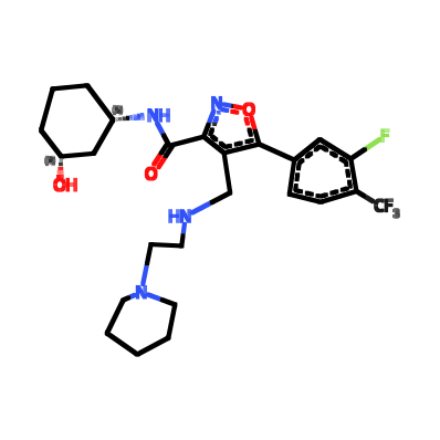 O=C(N[C@H]1CCC[C@@H](O)C1)c1noc(-c2ccc(C(F)(F)F)c(F)c2)c1CNCCN1CCCCC1